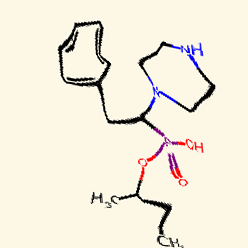 CCC(C)OP(=O)(O)C(Cc1ccccc1)N1CCNCC1